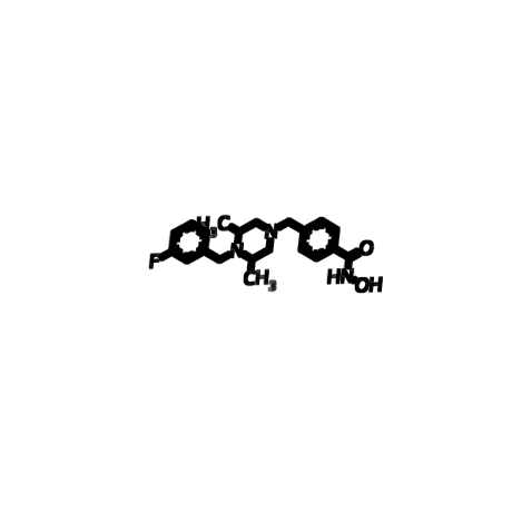 CC1CN(Cc2ccc(C(=O)NO)cc2)CC(C)N1Cc1cccc(F)c1